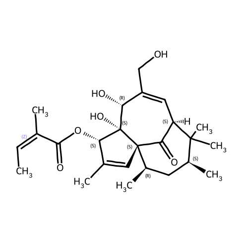 C/C=C(/C)C(=O)O[C@H]1C(C)=C[C@]23C(=O)[C@@H](C=C(CO)[C@@H](O)[C@]12O)C(C)(C)[C@@H](C)C[C@H]3C